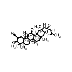 CC(=O)NS(=O)(=O)N[C@@]1(C)CC[C@]2(C)CC[C@@]3(C)[C@]4(C)CC[C@H]5C(C)(C)C(=O)C(C#N)=C[C@]5(C)C4=CC(=O)[C@]3(O)[C@@H]2C1